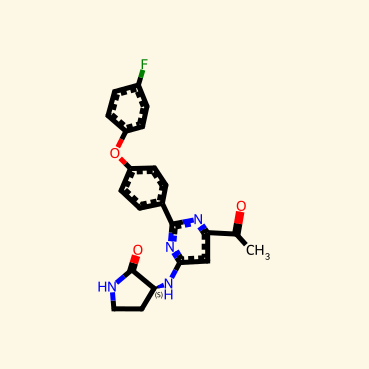 CC(=O)c1cc(N[C@H]2CCNC2=O)nc(-c2ccc(Oc3ccc(F)cc3)cc2)n1